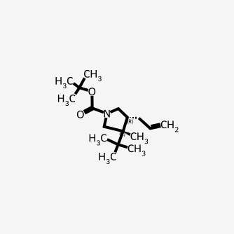 C=CC[C@H]1CN(C(=O)OC(C)(C)C)C[C@@]1(C)C(C)(C)C